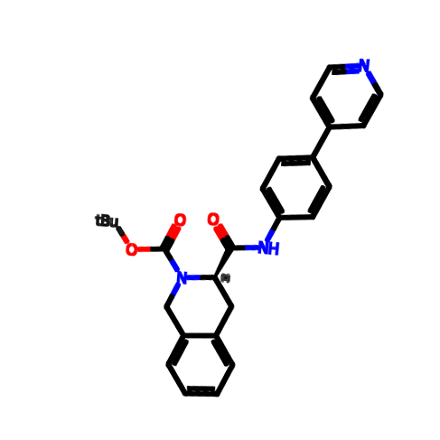 CC(C)(C)OC(=O)N1Cc2ccccc2C[C@@H]1C(=O)Nc1ccc(-c2ccncc2)cc1